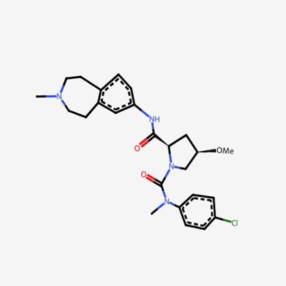 CO[C@@H]1C[C@H](C(=O)Nc2ccc3c(c2)CCN(C)CC3)N(C(=O)N(C)c2ccc(Cl)cc2)C1